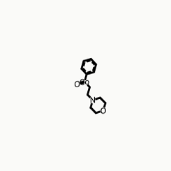 [O]=[Co]([CH2]CN1CCOCC1)[c]1ccccc1